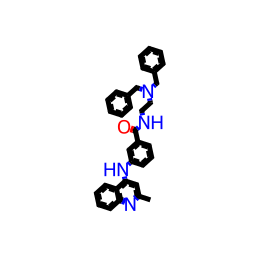 Cc1cc(Nc2cccc(C(=O)NCCN(Cc3ccccc3)Cc3ccccc3)c2)c2ccccc2n1